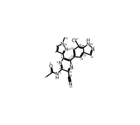 CC(=O)Nc1nc(-c2ccn(C)n2)c(-c2cc(Cl)c3[nH]ncc3c2)nc1C#N